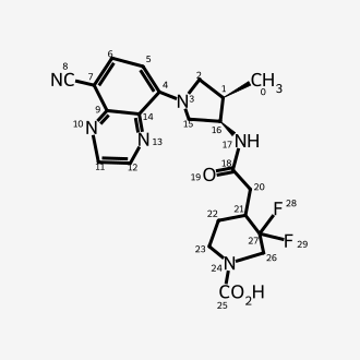 C[C@@H]1CN(c2ccc(C#N)c3nccnc23)C[C@@H]1NC(=O)CC1CCN(C(=O)O)CC1(F)F